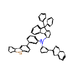 c1ccc(C2(c3ccccc3)c3ccccc3-c3c(N(c4cccc(-c5ccc6ccccc6c5)c4)c4cccc(-c5ccc6sc7ccccc7c6c5)c4)cccc32)cc1